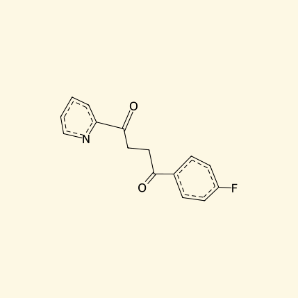 O=C(CCC(=O)c1ccccn1)c1ccc(F)cc1